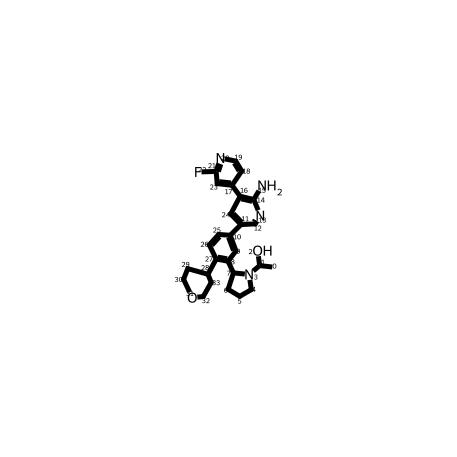 CC(O)N1CCCC1c1cc(-c2cnc(N)c(-c3ccnc(F)c3)c2)ccc1C1CCOCC1